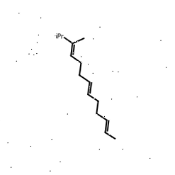 C/C=C/CC/C=C/CC/C=C(\C)[C](C)C